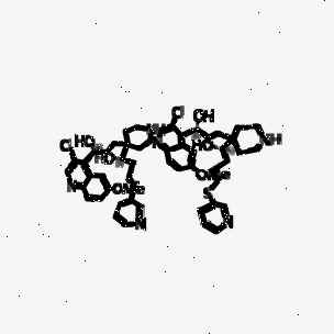 COc1ccc2ncc(Cl)c([C@H](O)CCC3([C@@H](O)CCCSc4cccnc4)CCNCC3)c2c1.COc1ccc2ncc(Cl)c([C@H](O)CCC3([C@@H](O)CCSc4cccnc4)CCNCC3)c2c1